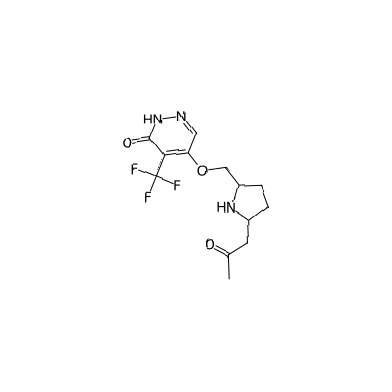 CC(=O)CC1CCC(COc2cn[nH]c(=O)c2C(F)(F)F)N1